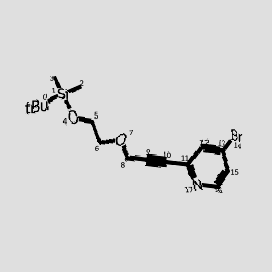 CC(C)(C)[Si](C)(C)OCCOCC#Cc1cc(Br)ccn1